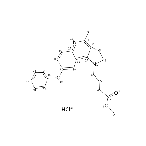 COC(=O)CCCN1CCc2c(C)nc3ccc(Oc4ccccc4)cc3c21.Cl